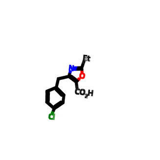 CCc1nc(Cc2ccc(Cl)cc2)c(C(=O)O)o1